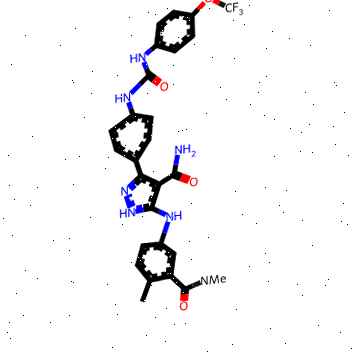 CNC(=O)c1cc(Nc2[nH]nc(-c3ccc(NC(=O)Nc4ccc(OC(F)(F)F)cc4)cc3)c2C(N)=O)ccc1C